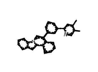 Cc1cnc(-c2cccc(-c3cn4c5ccccc5cc4c4ccccc34)c2)cc1C